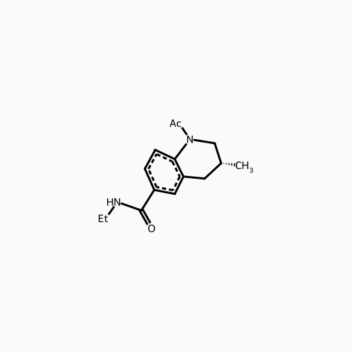 CCNC(=O)c1ccc2c(c1)C[C@@H](C)CN2C(C)=O